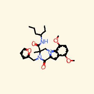 CCCC(CC)NC(=O)C1(C)Cn2c(cc3c(OC)ccc(OC)c32)C(=O)N1Cc1ccco1